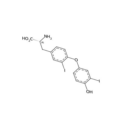 N[C@H](Cc1ccc(Oc2ccc(O)c(I)c2)c(I)c1)C(=O)O